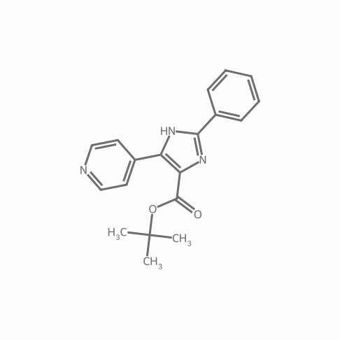 CC(C)(C)OC(=O)c1nc(-c2ccccc2)[nH]c1-c1ccncc1